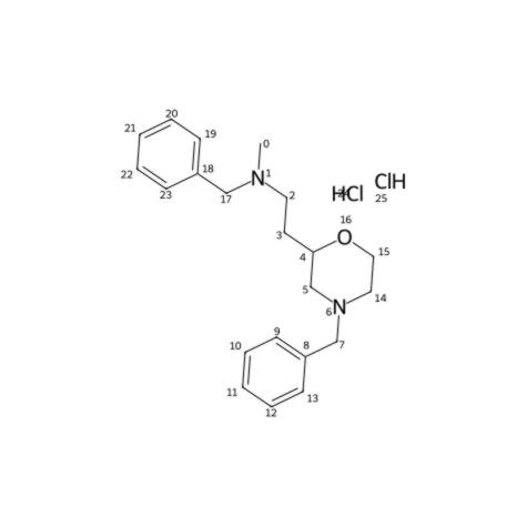 CN(CCC1CN(Cc2ccccc2)CCO1)Cc1ccccc1.Cl.Cl